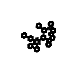 c1ccc(-c2ccc(-c3nc(-c4cccc(-n5c6ccccc6c6ccc7c8ccc9c%10ccccc%10n(-c%10cccc(-c%11ccccc%11)c%10)c9c8sc7c65)c4)nc(-c4ccccc4-c4ccccc4)n3)cc2)cc1